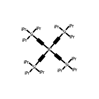 CC(C)[Si](C#C[B-](C#C[Si](C(C)C)(C(C)C)C(C)C)(C#C[Si](C(C)C)(C(C)C)C(C)C)C#C[Si](C(C)C)(C(C)C)C(C)C)(C(C)C)C(C)C